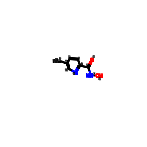 CCCCc1ccc(C(=O)NO)nc1